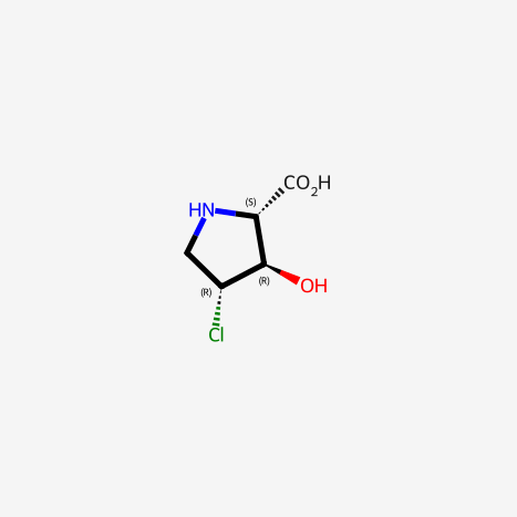 O=C(O)[C@H]1NC[C@@H](Cl)[C@@H]1O